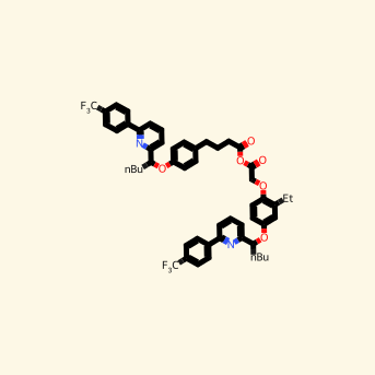 CCCCC(Oc1ccc(CCCC(=O)OC(=O)COc2ccc(OC(CCCC)c3cccc(-c4ccc(C(F)(F)F)cc4)n3)cc2CC)cc1)c1cccc(-c2ccc(C(F)(F)F)cc2)n1